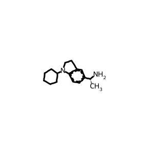 C[C@@H](N)c1ccc2c(c1)CCN2C1CCCCC1